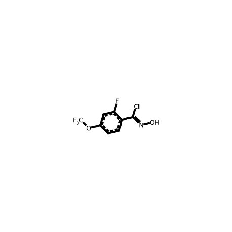 O/N=C(\Cl)c1ccc(OC(F)(F)F)cc1F